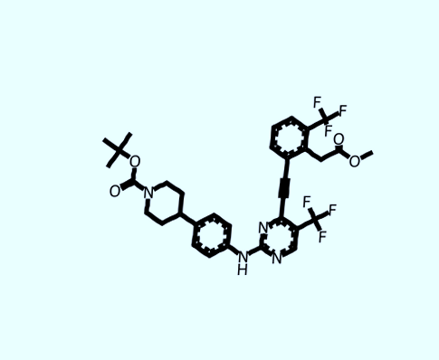 COC(=O)Cc1c(C#Cc2nc(Nc3ccc(C4CCN(C(=O)OC(C)(C)C)CC4)cc3)ncc2C(F)(F)F)cccc1C(F)(F)F